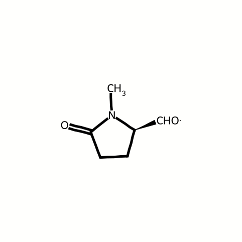 CN1C(=O)CC[C@@H]1[C]=O